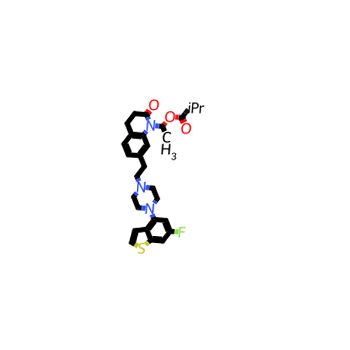 CC(C)C(=O)OC(C)N1C(=O)CCc2ccc(CCN3CCN(c4cc(F)cc5sccc45)CC3)cc21